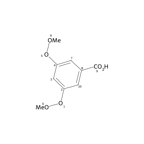 COOc1cc(OOC)cc(C(=O)O)c1